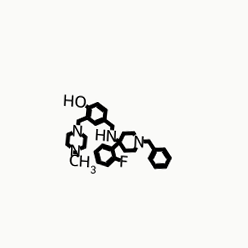 CN1CCN(Cc2cc(CNC3(c4ccccc4F)CCN(Cc4ccccc4)CC3)ccc2O)CC1